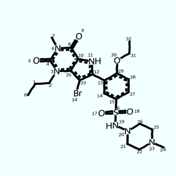 CCCn1c(=O)n(C)c(=O)c2[nH]c(-c3cc(S(=O)(=O)NN4CCN(C)CC4)ccc3OCC)c(Br)c21